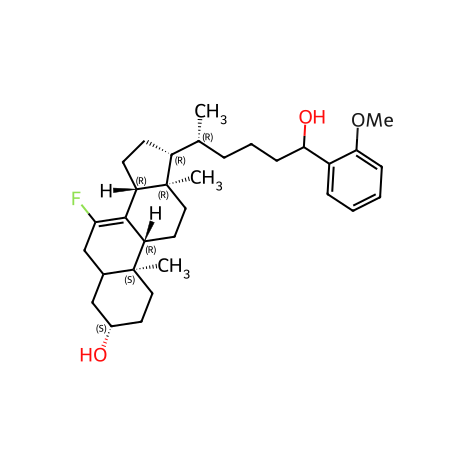 COc1ccccc1C(O)CCC[C@@H](C)[C@H]1CC[C@H]2C3=C(F)CC4C[C@@H](O)CC[C@]4(C)[C@H]3CC[C@]12C